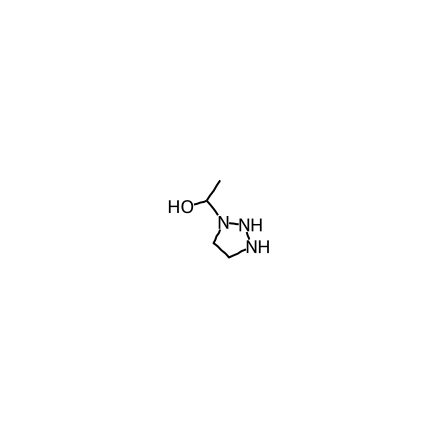 CC(O)N1CCNN1